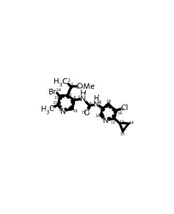 COC(C)c1c(NC(=O)Nc2cnc(C3CC3)c(Cl)c2)cnc(C)c1Br